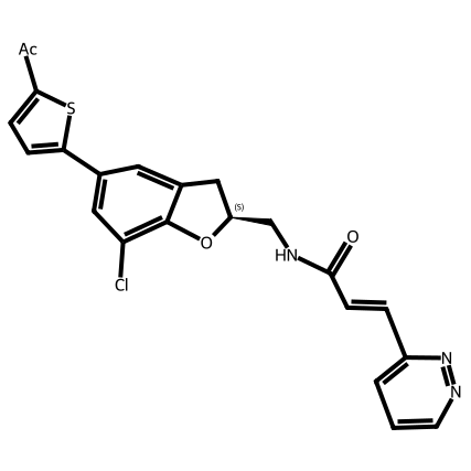 CC(=O)c1ccc(-c2cc(Cl)c3c(c2)C[C@@H](CNC(=O)C=Cc2cccnn2)O3)s1